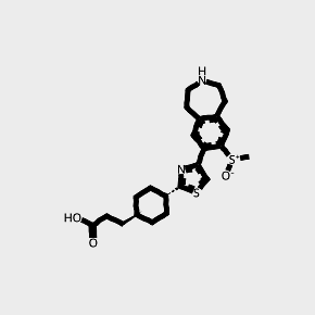 C[S+]([O-])c1cc2c(cc1-c1csc([C@H]3CC[C@H](CCC(=O)O)CC3)n1)CCNCC2